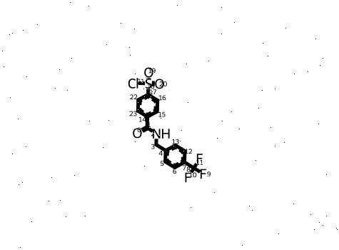 O=C(NCc1ccc(C(F)(F)F)cc1)c1ccc(S(=O)(=O)Cl)cc1